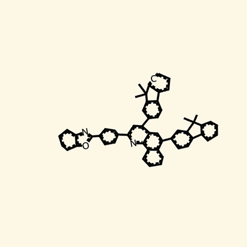 CC1(C)c2ccccc2-c2ccc(-c3cc4c(-c5ccc6c(c5)C(C)(C)c5ccccc5-6)cc(-c5ccc(-c6nc7ccccc7o6)cc5)nc4c4ccccc34)cc21